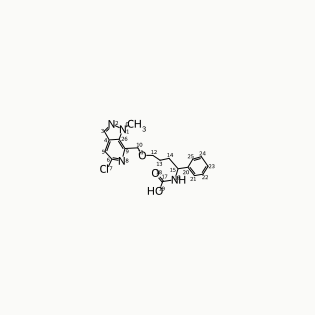 Cn1ncc2cc(Cl)nc(COCCCC(NC(=O)O)c3ccccc3)c21